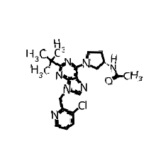 CC(=O)N[C@H]1CCN(c2nc(C(C)(C)C)nc3c2ncn3Cc2ncccc2Cl)C1